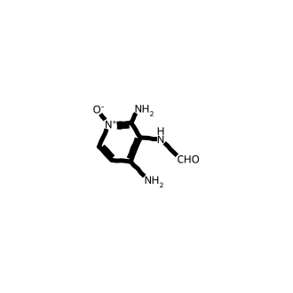 Nc1cc[n+]([O-])c(N)c1NC=O